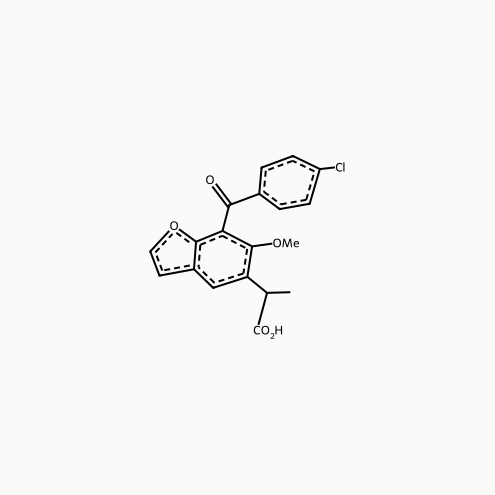 COc1c(C(C)C(=O)O)cc2ccoc2c1C(=O)c1ccc(Cl)cc1